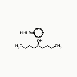 CCCCP(O)CCCC.I.I.[Ru].c1ccccc1